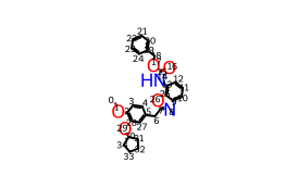 COc1ccc(Cc2nc3cccc(NC(=O)OCc4ccccc4)c3o2)cc1OC1CCCC1